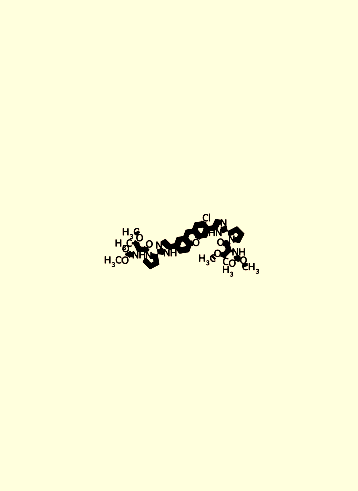 COC(=O)N[C@H](C(=O)N1CCC[C@H]1c1ncc(-c2ccc3c(c2)Cc2cc(Cl)c(-c4cnc([C@@H]5CCCN5C(=O)[C@@H](NC(=O)OC)[C@@H](C)OC)[nH]4)cc2O3)[nH]1)[C@@H](C)OC